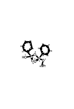 CCCOP(=O)(OP(=O)(O)c1ccccc1)c1ccccc1